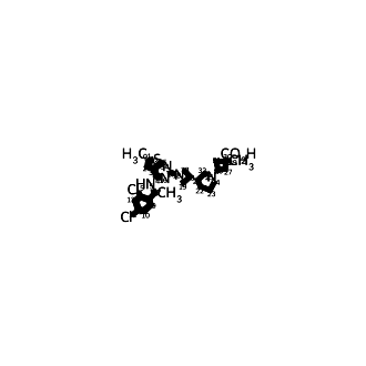 Cc1cc2c(NC(C)c3ccc(Cl)cc3Cl)nc(N3CC([C@H]4CCCN(C5CC(C)(C(=O)O)C5)C4)C3)nc2s1